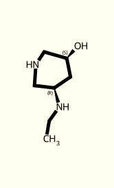 CCN[C@H]1CNC[C@@H](O)C1